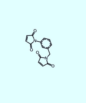 O=C1C=CC(=O)N1Cc1cccc(N2C(=O)C=CC2=O)c1